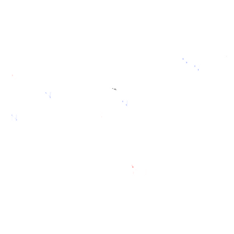 COc1ccc([C@H]2CC[C@H](CN(c3cccc(-c4cnn(C5CC5)c4)c3)C(=O)[C@H]3CC[C@H](O)CC3)CC2)nc1C#N